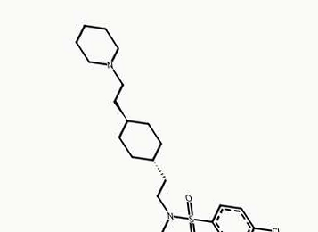 CN(CC[C@H]1CC[C@H](CCN2CCCCC2)CC1)S(=O)(=O)c1ccc(Cl)cc1